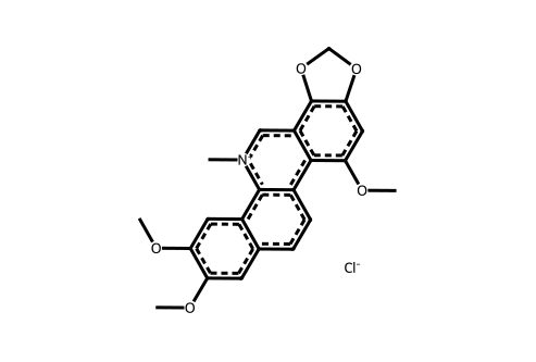 COc1cc2ccc3c4c(OC)cc5c(c4c[n+](C)c3c2cc1OC)OCO5.[Cl-]